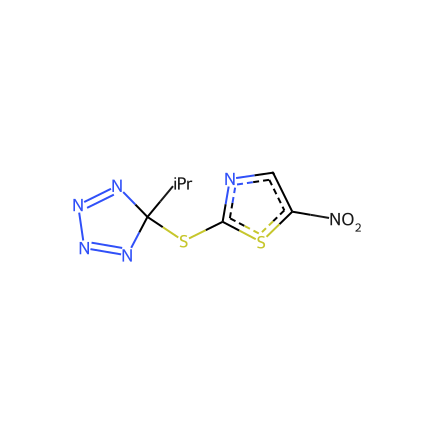 CC(C)C1(Sc2ncc([N+](=O)[O-])s2)N=NN=N1